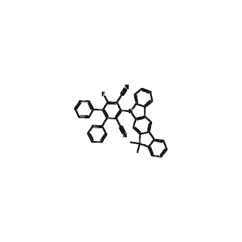 CC1(C)c2ccccc2-c2cc3c4ccccc4n(-c4c(C#N)c(F)c(-c5ccccc5)c(-c5ccccc5)c4C#N)c3cc21